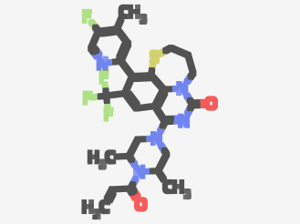 C=CC(=O)N1C(C)CN(c2nc(=O)n3c4c(c(-c5cc(C)c(F)cn5)c(C(F)(F)F)cc24)SCCC3)CC1C